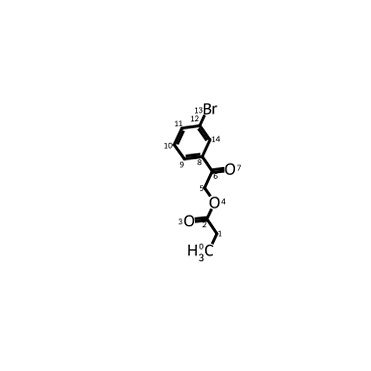 CCC(=O)OCC(=O)c1cccc(Br)c1